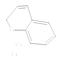 C1=Cc2ccccc2OC1.[Cu].[Ta]